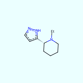 CCN1CCCC[C@@H]1c1ccn[nH]1